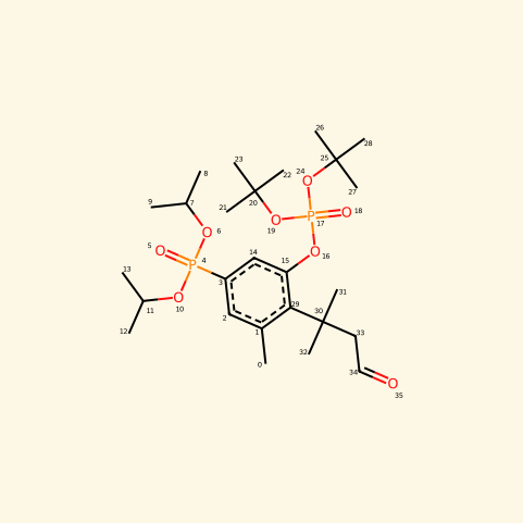 Cc1cc(P(=O)(OC(C)C)OC(C)C)cc(OP(=O)(OC(C)(C)C)OC(C)(C)C)c1C(C)(C)CC=O